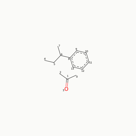 CC(C)=O.CCC(C)c1ccccc1